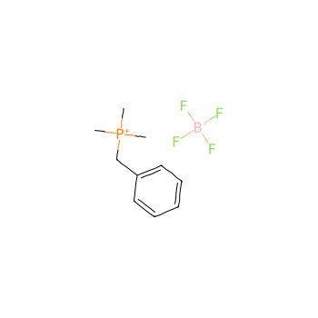 C[P+](C)(C)Cc1ccccc1.F[B-](F)(F)F